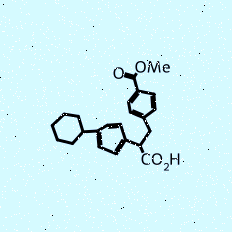 COC(=O)c1ccc(CC(C(=O)O)c2ccc(C3CCCCC3)cc2)cc1